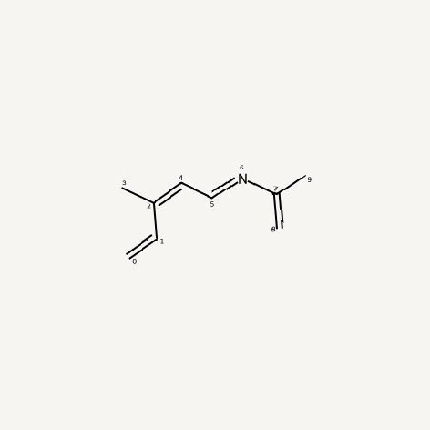 C=C/C(C)=C\C=N\C(=C)C